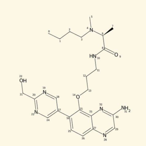 CCCCN(C)[C@@H](C)C(=O)NCCCOc1c(-c2cnc(CO)nc2)ccc2ncc(N)nc12